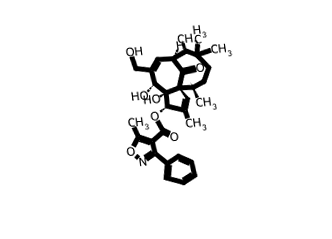 CC1=C[C@]23C(=O)[C@@H](C=C(CO)[C@@H](O)[C@]2(O)[C@H]1OC(=O)c1c(-c2ccccc2)noc1C)[C@@H](C)C(C)(C)CC[C@H]3C